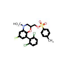 Cc1ccc(S(=O)(=O)OCC2CN(C(=O)O)c3cc(F)cc(-c4c(Cl)cccc4Cl)c3O2)cc1